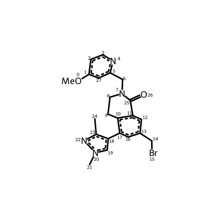 COc1ccnc(CN2CCc3c(cc(CBr)cc3-c3cn(C)nc3C)C2=O)c1